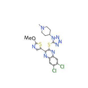 COc1ncc(-c2nc3cc(Cl)c(Cl)cc3nc2Sc2nnnn2C2CCN(C)CC2)s1